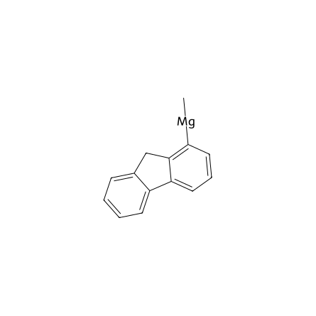 [CH3][Mg][c]1cccc2c1Cc1ccccc1-2